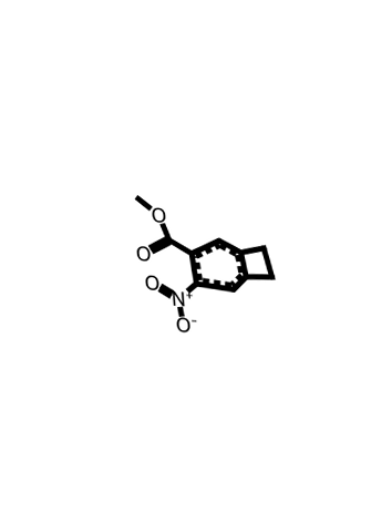 COC(=O)c1cc2c(cc1[N+](=O)[O-])CC2